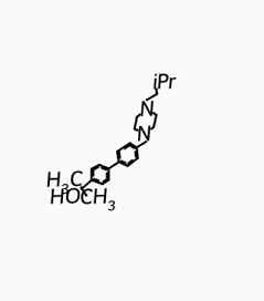 CC(C)CCN1CCN(Cc2ccc(-c3ccc(C(C)(C)O)cc3)cc2)CC1